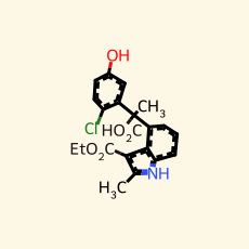 CCOC(=O)c1c(C)[nH]c2cccc(C(C)(C(=O)O)c3cc(O)ccc3Cl)c12